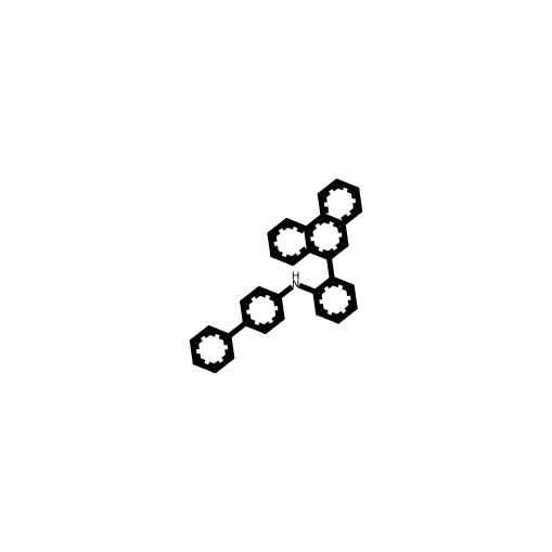 c1ccc(-c2ccc(Nc3ccccc3-c3cc4ccccc4c4ccccc34)cc2)cc1